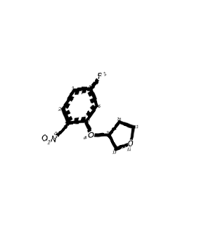 O=[N+]([O-])c1ccc(F)cc1OC1CCOC1